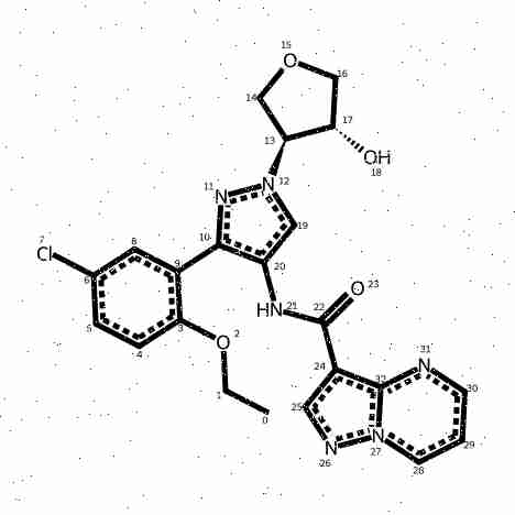 CCOc1ccc(Cl)cc1-c1nn([C@H]2COC[C@@H]2O)cc1NC(=O)c1cnn2cccnc12